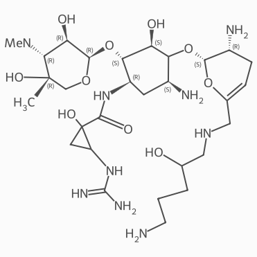 CN[C@@H]1[C@@H](O)[C@@H](O[C@H]2[C@H](NC(=O)C3(O)CC3NC(=N)N)C[C@H](N)C(O[C@H]3OC(CNCC(O)CCCN)=CC[C@H]3N)[C@@H]2O)OC[C@]1(C)O